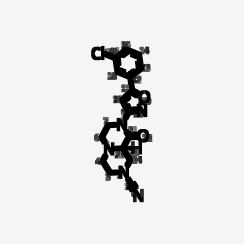 N#CN1CCN2CCN(c3cc(-c4cccc(Cl)c4)on3)C(=O)[C@@H]2C1